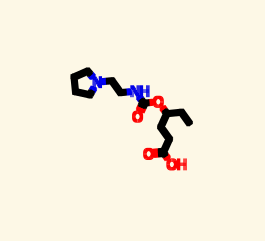 CCC(CCC(=O)O)OC(=O)NCCN1CCCC1